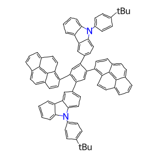 CC(C)(C)c1ccc(-n2c3ccccc3c3cc(-c4cc(-c5ccc6ccc7cccc8ccc5c6c78)c(-c5ccc6c(c5)c5ccccc5n6-c5ccc(C(C)(C)C)cc5)cc4-c4ccc5ccc6cccc7ccc4c5c67)ccc32)cc1